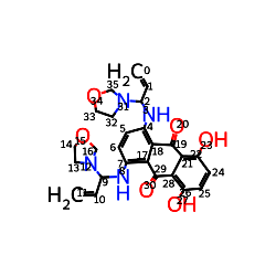 C=CC(Nc1ccc(NC(C=C)N2CCOC2)c2c1C(=O)c1c(O)ccc(O)c1C2=O)N1CCOC1